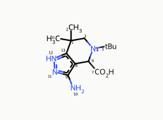 CC1(C)CN(C(C)(C)C)C(C(=O)O)c2c(N)n[nH]c21